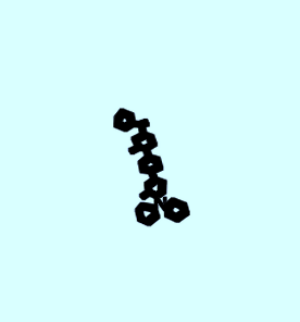 C=C(C1=CC(C)C(c2ccc(C3=CC(C)C(N(C4=CCCC=C4)c4ccccc4)C=C3)cc2)C=C1)c1ccccc1